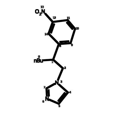 CCCCC(Cn1ccnc1)c1cccc([N+](=O)[O-])c1